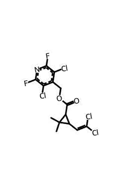 CC1(C)C(C=C(Cl)Cl)C1C(=O)OCc1c(Cl)c(F)nc(F)c1Cl